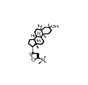 C[C@@]1(O)CC[C@@]2(C)[C@H](CC[C@@H]3[C@@H]2CC[C@]2(C)[C@@H](c4cc([Si](C)(C)C)on4)CC[C@@H]32)C1